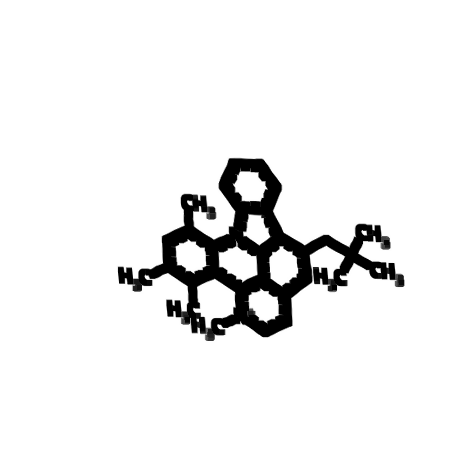 Cc1cc(C)c2c(c1C)c1c3c(cc[n+]1C)cc(CC(C)(C)C)c1c4ccccc4n2c13